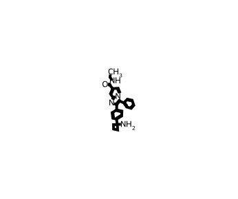 CCNC(=O)c1ccn2c(-c3ccccc3)c(-c3ccc(C4(N)CCC4)cc3)nc2c1